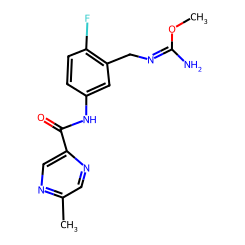 CO/C(N)=N\Cc1cc(NC(=O)c2cnc(C)cn2)ccc1F